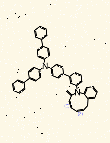 C=C1/C=C\C=C/Cc2ccccc2N1c1cccc(-c2ccc(N(c3ccc(-c4ccccc4)cc3)c3ccc(-c4ccccc4)cc3)cc2)c1